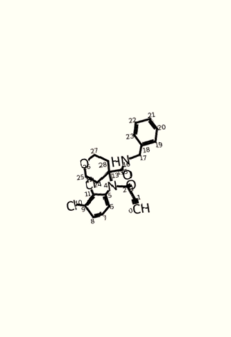 C#CC(=O)N(c1cccc(Cl)c1Cl)C1(C(=O)NCc2ccccc2)CCOCC1